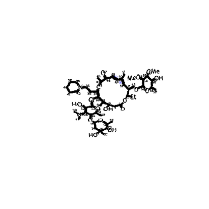 CCC1OC(=O)CC(O)C(C)C(OC2OC(C)C(OC3CC(C)(O)C(O)C(C)O3)C(N(C)C)C2O)C(CCN2CCCCC2)CC(C)C(=O)/C=C/C(C)=C/C1COC1OC(C)C(O)C(OC)C1OC